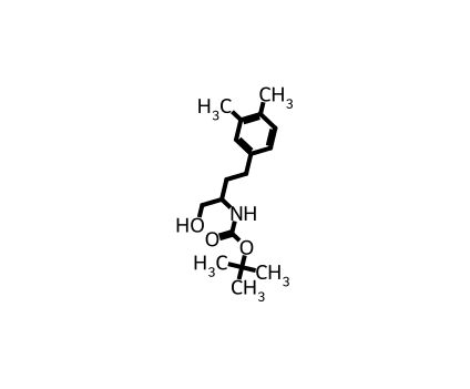 Cc1ccc(CCC(CO)NC(=O)OC(C)(C)C)cc1C